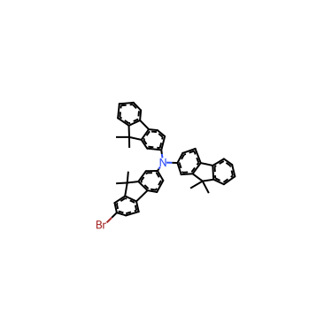 CC1(C)c2ccccc2-c2ccc(N(c3ccc4c(c3)C(C)(C)c3ccccc3-4)c3ccc4c(c3)C(C)(C)c3cc(Br)ccc3-4)cc21